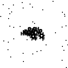 O=C(c1ccc(F)cc1)N1CCC(O)(C(CO)n2c(-c3ccc(F)cc3)nc3[nH]ncc3c2=O)CC1